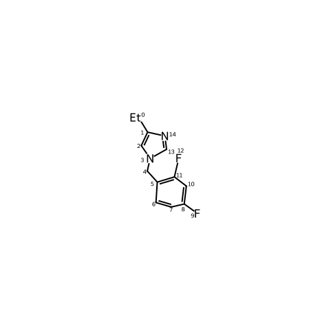 CCc1cn(Cc2ccc(F)cc2F)cn1